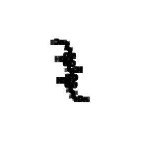 CCCCCCCCCCCCCC(=O)OP(=O)(O)OC(=O)CC(O)C(=O)OP(=O)(O)OC(=O)CCCCCCCCCCCCC